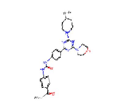 COC(=O)c1ccc(NC(=O)Nc2ccc(-c3nc(N4CCOCC4)nc(N4CCC(NC(C)=O)CC4)n3)cc2)cc1